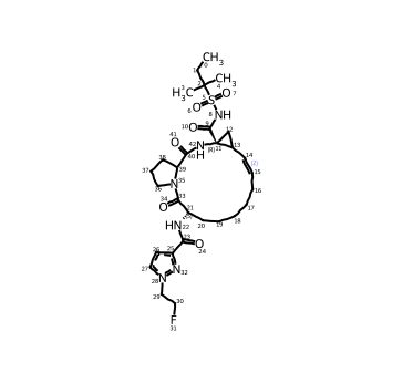 CCC(C)(C)S(=O)(=O)NC(=O)[C@@]12CC1/C=C\CCCCC[C@H](NC(=O)c1ccn(CCF)n1)C(=O)N1CCCC1C(=O)N2